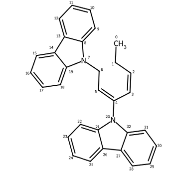 CC/C=C\C(=C/Cn1c2ccccc2c2ccccc21)n1c2ccccc2c2ccccc21